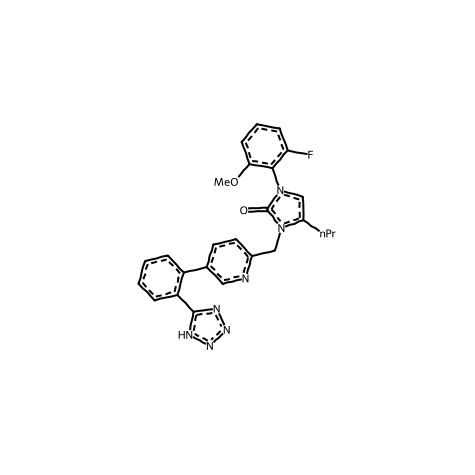 CCCc1cn(-c2c(F)cccc2OC)c(=O)n1Cc1ccc(-c2ccccc2-c2nnn[nH]2)cn1